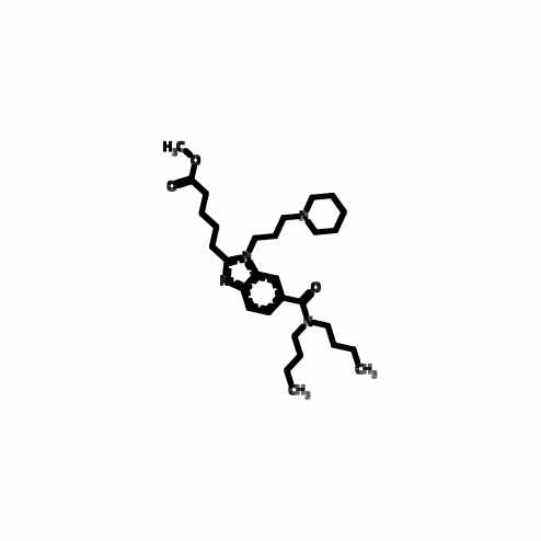 CCCCN(CCCC)C(=O)c1ccc2nc(CCCCC(=O)OC)n(CCCN3CCCCC3)c2c1